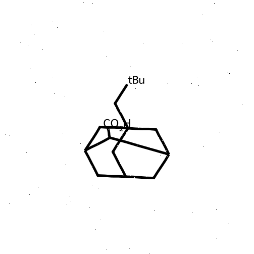 CC(C)(C)CC12CC3CC(C1)C(C(=O)O)C(C3)C2